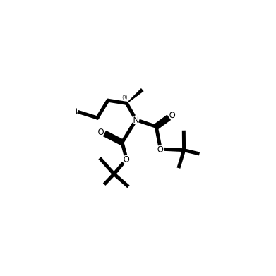 C[C@H](CCI)N(C(=O)OC(C)(C)C)C(=O)OC(C)(C)C